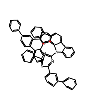 c1ccc(-c2cccc(-c3nc(-c4ccccc4)nc(-n4c5ccccc5c5ccc6c7ccccc7n(-c7ccccc7-c7ccc(-c8ccccc8)cc7-c7ccccc7)c6c54)n3)c2)cc1